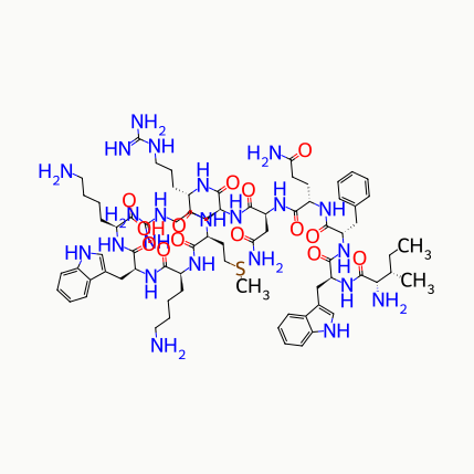 CC[C@H](C)[C@H](N)C(=O)N[C@@H](Cc1c[nH]c2ccccc12)C(=O)N[C@@H](Cc1ccccc1)C(=O)N[C@@H](CCC(N)=O)C(=O)N[C@@H](CC(N)=O)C(=O)N[C@@H](CCCNC(=N)N)C(=O)N[C@@H](CCCNC(=N)N)C(=O)N[C@@H](CCSC)C(=O)N[C@@H](CCCCN)C(=O)N[C@@H](Cc1c[nH]c2ccccc12)C(=O)N[C@@H](CCCCN)C(=O)O